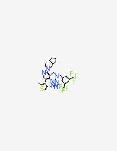 CCN(CC1CCCC1)c1ncc(-c2ccsc2C)cc1CN(Cc1cc(C(F)(F)F)cc(C(F)(F)F)c1)c1nnn(C)n1